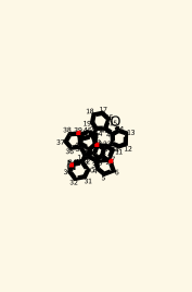 N#Cc1c2ccccc2c(-c2cccc3oc4cccc(-c5c6ccccc6c(-c6ccccc6)c6ccccc56)c4c23)c2ccccc12